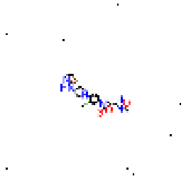 CC(=O)NCC1CN(c2ccc(N3CCC(Nc4nccs4)CC3)c(F)c2)C(=O)O1